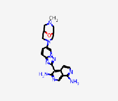 CN1CC2CN(c3ccc4nc(-c5c(N)ncc6c(N)nccc56)nn4c3)CC(C1)O2